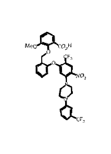 COc1cccc(C(=O)O)c1OCc1ccccc1Oc1cc(N2CCN(c3cccc(C(F)(F)F)c3)CC2)c([N+](=O)[O-])cc1C(F)(F)F